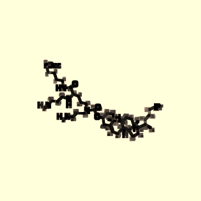 CCCCCCCCCCCCCCNC(=O)C(CCCN(CCCN)C(=O)O[C@H]1CC[C@@]2(C)C(=CC[C@H]3[C@@H]4CC[C@H]([C@H](C)CCCC(C)C)[C@@]4(C)CC[C@@H]32)C1)NCCCN